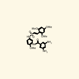 COc1cc(OC)c(C=CS(=O)(=O)Nc2ccc(OC)c(NC(=O)c3cc(N)cc(N)c3)c2)c(OC)c1